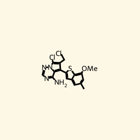 COc1cc(C)cc2cc(-c3c(CCl)c(Cl)n4ncnc(N)c34)sc12